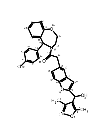 Cc1noc(C)c1C(O)c1cc2cc(CC(=O)N3CCOc4ccccc4C3c3ccc(Cl)cc3)ccc2o1